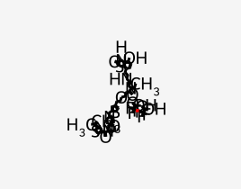 CCN(CCNCCc1ccc(O)c2[nH]c(=O)sc12)C(=O)CCOCCc1csc(CN2CCC3(CC2)CN(C(=O)c2csc(C(C)C)n2)CCO3)c1.O=C(O)C(F)(F)F.O=C(O)C(F)(F)F